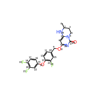 CC1CCn2c(cc(OCc3ccc(Oc4ccc(F)c(F)c4)c(F)c3)nc2=O)N1